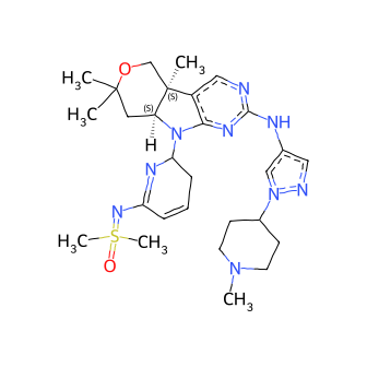 CN1CCC(n2cc(Nc3ncc4c(n3)N(C3CC=CC(N=S(C)(C)=O)=N3)[C@H]3CC(C)(C)OC[C@@]43C)cn2)CC1